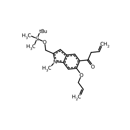 C=CCOc1cc2c(cc1C(=O)CC=C)cc(CO[Si](C)(C)C(C)(C)C)n2C